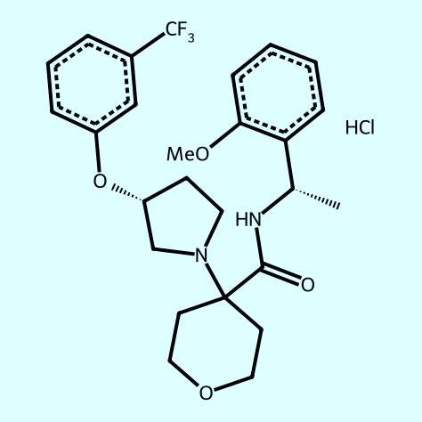 COc1ccccc1[C@H](C)NC(=O)C1(N2CC[C@@H](Oc3cccc(C(F)(F)F)c3)C2)CCOCC1.Cl